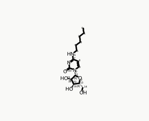 CCCCCCNc1ccn([C@@H]2O[C@H](CO)[C@@H](O)[C@H]2O)c(=O)n1